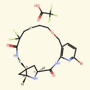 O=C(O)C(F)(F)F.O=C1Nc2nc(Br)ccc2COCCCCC(F)(F)C(=O)NC[C@@]23C[C@@H]1N[C@@H]2C3